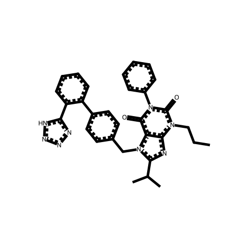 CCCn1c(=O)n(-c2ccccc2)c(=O)c2c1nc(C(C)C)n2Cc1ccc(-c2ccccc2-c2nnn[nH]2)cc1